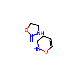 C1=CONCC1.C1CONN1